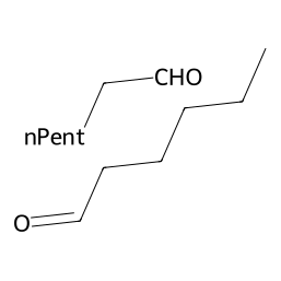 CCCCCC=O.CCCCCCC=O